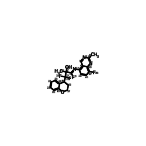 Cc1ncc2c(N=C(F)C(C)(O)C(F)(F)C3CCOc4ccccc43)ccc(F)c2n1